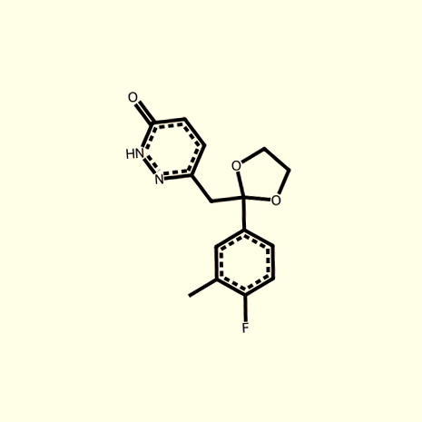 Cc1cc(C2(Cc3ccc(=O)[nH]n3)OCCO2)ccc1F